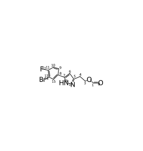 O=COCCc1cc(-c2ccc(F)c(Br)c2)[nH]n1